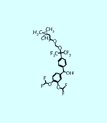 C[Si](C)(C)CCOCOC(c1ccc(C(O)c2ccc(OC(F)F)c(OC(F)F)c2)cc1)(C(F)(F)F)C(F)(F)F